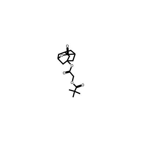 CC(C)(C)C(=O)OCC(=O)OC12CC3CC(C1)OC(=O)C(C3)C2